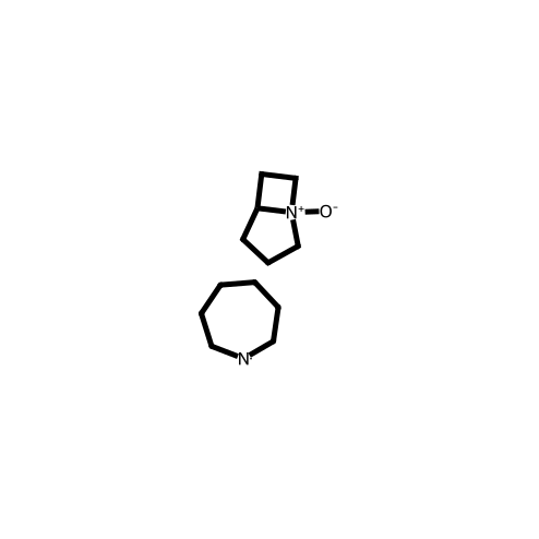 C1CCC[N]CC1.[O-][N+]12CCCC1CC2